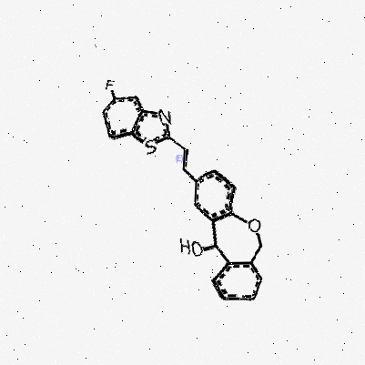 OC1c2ccccc2COc2ccc(/C=C/c3nc4cc(F)ccc4s3)cc21